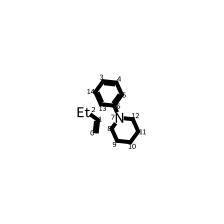 C=CCC.c1ccc(N2CCCCC2)cc1